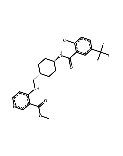 COC(=O)c1cnccc1NC[C@H]1CC[C@H](NC(=O)c2cc(C(F)(F)F)ccc2Cl)CC1